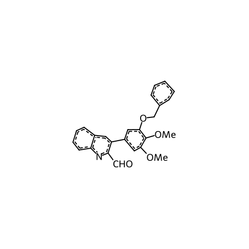 COc1cc(-c2cc3ccccc3nc2C=O)cc(OCc2ccccc2)c1OC